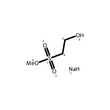 COS(=O)(=O)CCO.[NaH]